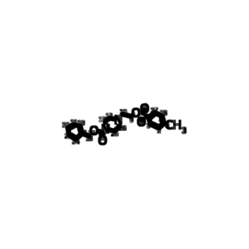 Cc1ccc(S(=O)(=O)OCCN2CCN(C(=O)OCc3ccccc3)CC2)cc1